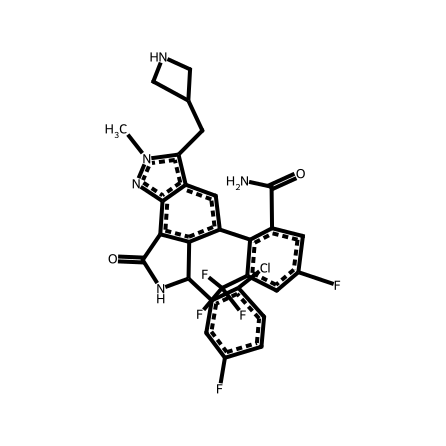 Cn1nc2c3c(c(-c4c(C(N)=O)cc(F)cc4C(F)(F)F)cc2c1CC1CNC1)C(c1cc(F)ccc1Cl)NC3=O